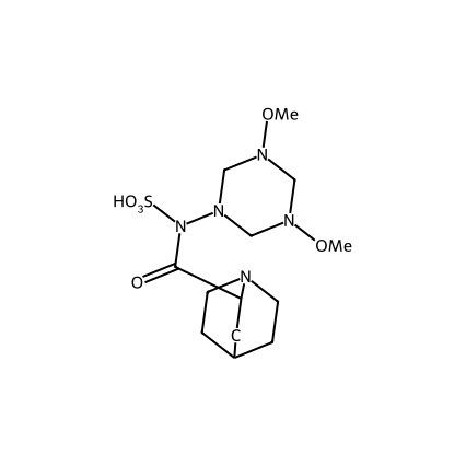 CON1CN(OC)CN(N(C(=O)C2CC3CCN2CC3)S(=O)(=O)O)C1